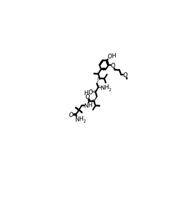 COCCCOc1cc(C(C)[C@@H](C[C@H](N)[C@@H](O)C[C@H](C(=O)NCC(C)(C)C(N)=O)C(C)C)C(C)C)ccc1O